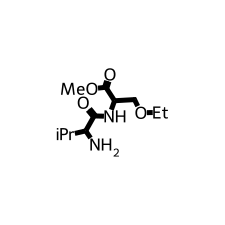 CCOCC(NC(=O)C(N)C(C)C)C(=O)OC